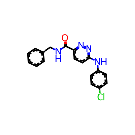 O=C(NCc1ccccc1)c1ccc(Nc2ccc(Cl)cc2)nn1